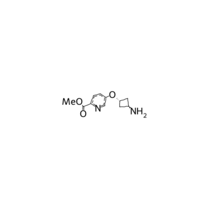 COC(=O)c1ccc(O[C@H]2C[C@H](N)C2)cn1